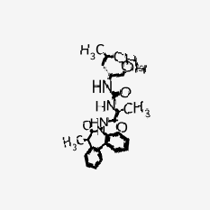 CC(C)C[C@H](CO)NC(=O)N[C@@H](C)C(=O)NN1C(=O)C(C)c2ccccc2-c2ccccc21